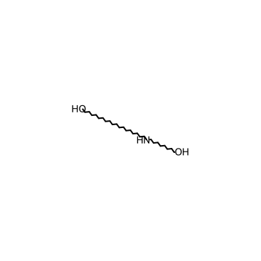 OCCCCCCCCCCCCCCCCCCNCCCCCCCCO